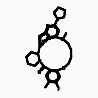 Cc1cc2c(cc1F)OCCCCN(C)c1cc(N3CCCC3)nc3cc(nn13)C1CCCCN1C2=O